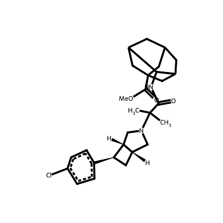 COC(=O)C12CC3CC(C1)C(NC(=O)C(C)(C)N1C[C@@H]4C[C@@H](c5ccc(Cl)cc5)[C@@H]4C1)C(C3)C2